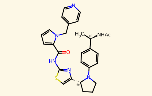 CC(=O)N[C@H](C)c1ccc(N2CCC[C@@H]2c2csc(NC(=O)c3cccn3Cc3ccncc3)n2)cc1